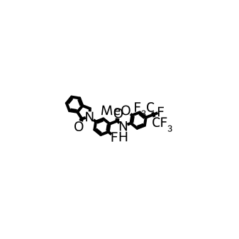 COc1cc(C(F)(C(F)(F)F)C(F)(F)F)ccc1NC(=O)c1cc(N2Cc3ccccc3C2=O)ccc1F